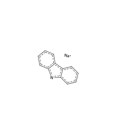 [Na+].c1ccc2c(c1)[n-]c1ccccc12